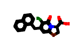 O=C(O)C1CSc2cc(Cc3cccc4ccccc34)c(Br)c(=O)n21